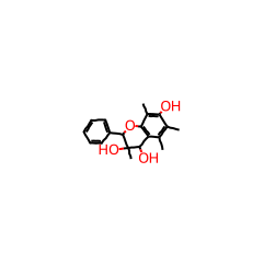 Cc1c(C)c2c(c(C)c1O)OC(c1ccccc1)C(C)(O)C2O